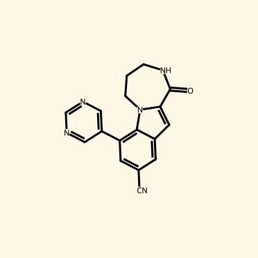 N#Cc1cc(-c2cncnc2)c2c(c1)cc1n2CCCNC1=O